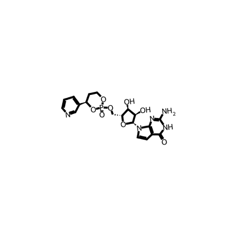 Nc1nc2c(ccn2[C@@H]2O[C@H](COP3(=O)OCC[C@H](c4cccnc4)O3)[C@@H](O)[C@H]2O)c(=O)[nH]1